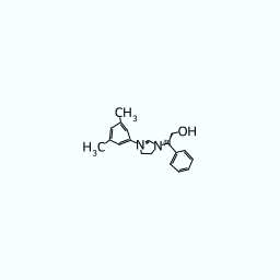 Cc1cc(C)cc([N+]2=CN([C@@H](CO)c3ccccc3)CC2)c1